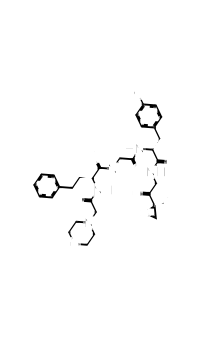 C[C@]1(C(=O)CNC(=O)[C@H](Cc2ccc(C(F)(F)F)cc2)NC(=O)CNC(=O)[C@H](CCc2ccccc2)NC(=O)CN2CCOCC2)CO1